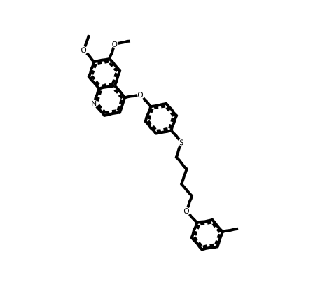 COc1cc2nccc(Oc3ccc(SCCCCOc4cccc(C)c4)cc3)c2cc1OC